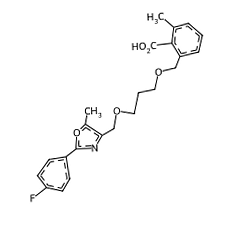 Cc1cccc(COCCCOCc2nc(-c3ccc(F)cc3)oc2C)c1C(=O)O